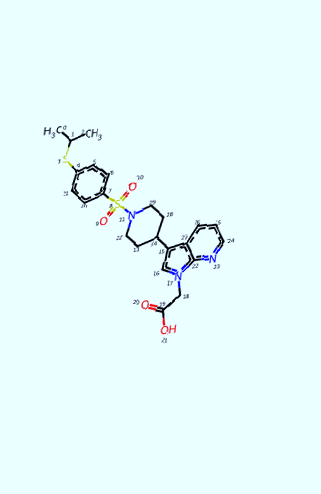 CC(C)Sc1ccc(S(=O)(=O)N2CCC(c3cn(CC(=O)O)c4ncccc34)CC2)cc1